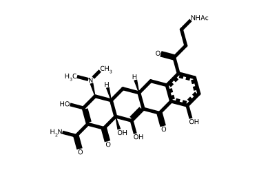 CC(=O)NCCC(=O)c1ccc(O)c2c1C[C@H]1C[C@H]3[C@H](N(C)C)C(O)=C(C(N)=O)C(=O)[C@@]3(O)C(O)=C1C2=O